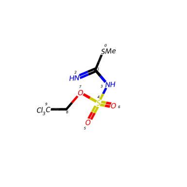 CSC(=N)NS(=O)(=O)OCC(Cl)(Cl)Cl